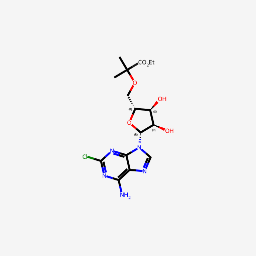 CCOC(=O)C(C)(C)OC[C@H]1O[C@@H](n2cnc3c(N)nc(Cl)nc32)[C@H](O)[C@@H]1O